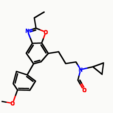 CCc1nc2cc(-c3ccc(OC)cc3)cc(CCCN(C=O)C3CC3)c2o1